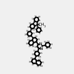 CC1(c2ccccc2)c2ccccc2-c2ccc(-c3cccc(-c4ccc(-c5cc(-c6ccc(-c7cccc8ccccc78)cc6)nc(-c6ccccc6)n5)c5ccccc45)c3)cc21